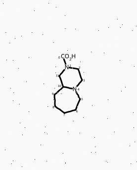 O=C(O)N1CCN2CCCCCC2C1